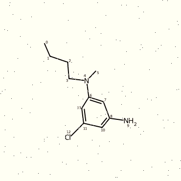 CCCCN(C)c1cc(N)cc(Cl)c1